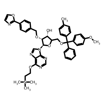 COc1ccc(C(OCC2O[C@@H](n3cnc4c(OCC[Si](C)(C)C)ncnc43)[C@H](OCc3ccc(-c4ncco4)cc3)[C@@H]2O)(c2ccccc2)c2ccc(C)cc2)cc1